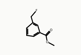 COC(=O)c1cccc(CF)c1